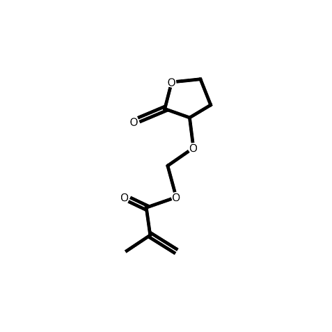 C=C(C)C(=O)OCOC1CCOC1=O